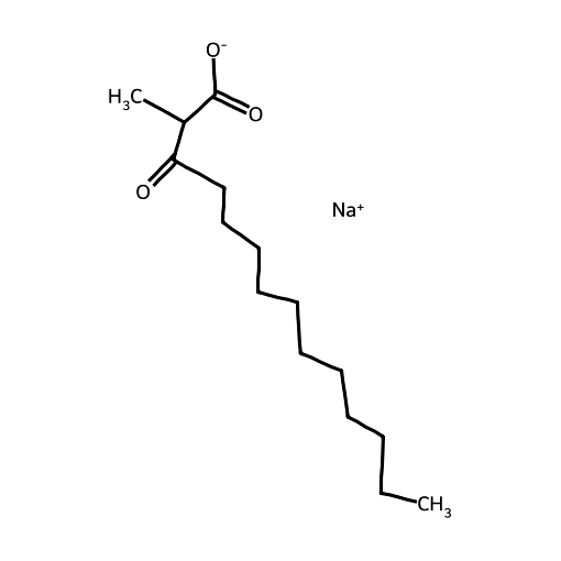 CCCCCCCCCCCC(=O)C(C)C(=O)[O-].[Na+]